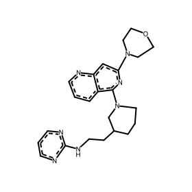 c1cnc(NCCC2CCCN(c3nc(N4CCOCC4)cc4ncccc34)C2)nc1